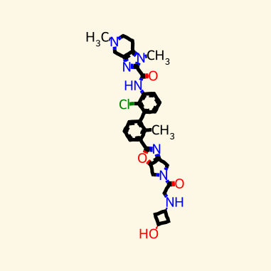 Cc1c(-c2nc3c(o2)CN(C(=O)CN[C@H]2C[C@@H](O)C2)C3)cccc1-c1cccc(NC(=O)c2nc3c(n2C)CCN(C)C3)c1Cl